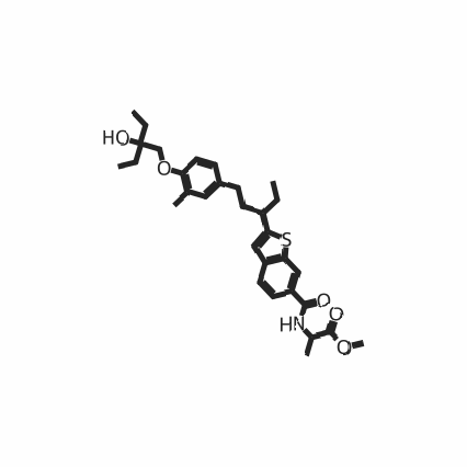 CCC(CCc1ccc(OCC(O)(CC)CC)c(C)c1)c1cc2ccc(C(=O)NC(C)C(=O)OC)cc2s1